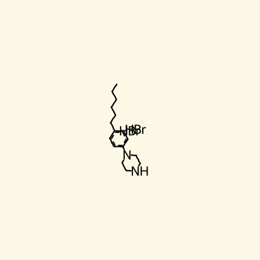 Br.Br.CCCCCCc1ccc(N2CCNCC2)cc1